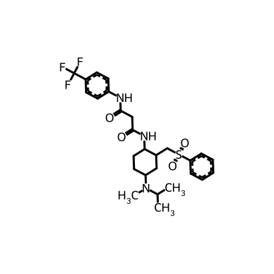 CC(C)N(C)C1CCC(NC(=O)CC(=O)Nc2ccc(C(F)(F)F)cc2)C(CS(=O)(=O)c2ccccc2)C1